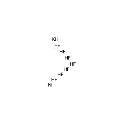 F.F.F.F.F.F.F.[KH].[Ni]